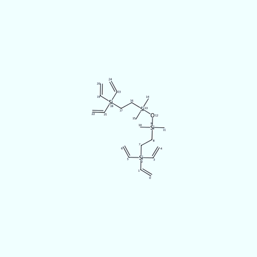 C=C[Si](C=C)(C=C)CC[Si](C)(C)O[Si](C)(C)CC[Si](C=C)(C=C)C=C